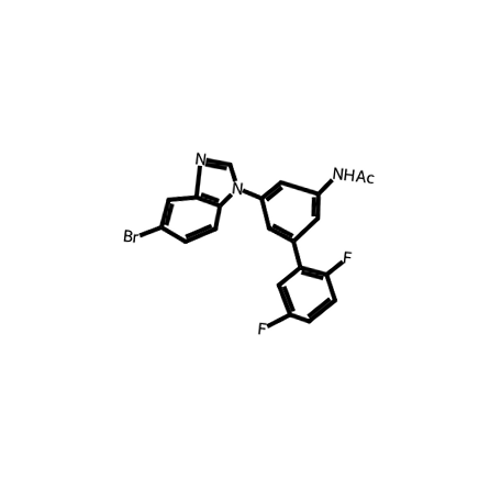 CC(=O)Nc1cc(-c2cc(F)ccc2F)cc(-n2cnc3cc(Br)ccc32)c1